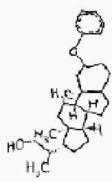 CC(CO)[C@H]1CC[C@H]2[C@@H]3CCC4CCC(Oc5ccccc5)C[C@]4(C)[C@H]3CC[C@]12C